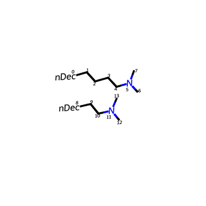 CCCCCCCCCCCCCCN(C)C.CCCCCCCCCCCCN(C)C